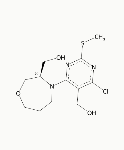 CSc1nc(Cl)c(CO)c(N2CCCOC[C@H]2CO)n1